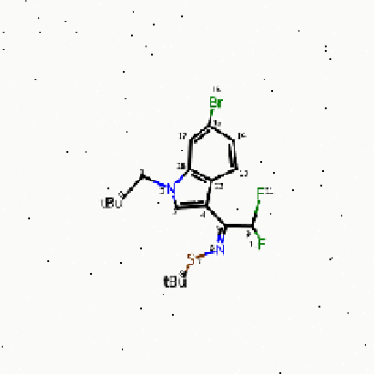 CC(C)(C)Cn1cc(/C(=N\SC(C)(C)C)C(F)F)c2ccc(Br)cc21